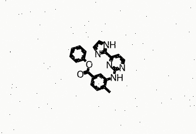 Cc1ccc(C(=O)Oc2ccccc2)cc1Nc1nccc(-c2ncc[nH]2)n1